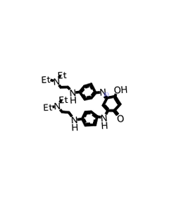 CCN(CC)CCNc1ccc(/N=C2\C=C(Nc3ccc(NCCN(CC)CC)cc3)C(=O)C=C2O)cc1